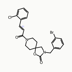 O=C(/C=C/c1ccccc1Cl)N1CCC2(CC1)CN(Cc1cccc(Br)c1)C(=O)O2